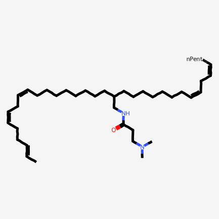 C/C=C/CC/C=C\C/C=C\CCCCCCCCC(CCCCCCC/C=C\C/C=C\CCCCC)CNC(=O)CCN(C)C